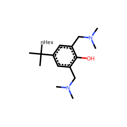 CCCCCCC(C)(C)c1cc(CN(C)C)c(O)c(CN(C)C)c1